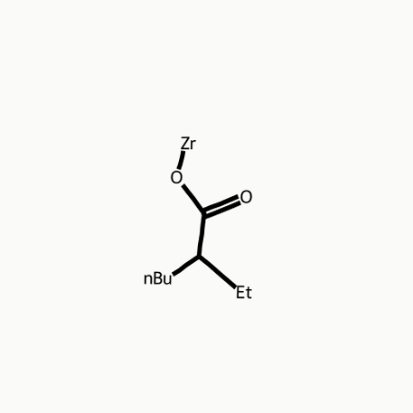 CCCCC(CC)C(=O)[O][Zr]